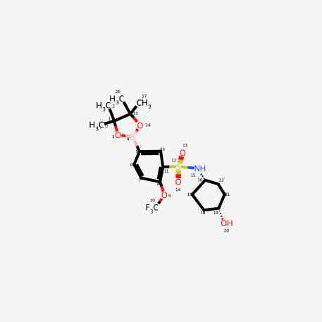 CC1(C)OB(c2ccc(OC(F)(F)F)c(S(=O)(=O)N[C@H]3CC[C@@H](O)CC3)c2)OC1(C)C